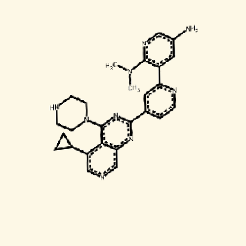 CN(C)c1ncc(N)cc1-c1cc(-c2nc(N3CCNCC3)c3c(C4CC4)cncc3n2)ccn1